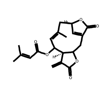 C=C1C(=O)OC2CC3=C[C@@H](C/C(C)=C/C(OC(=O)C=C(C)C)[C@H]12)OC3=O